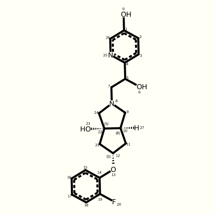 Oc1ccc(C(O)CN2C[C@H]3C[C@H](Oc4ccccc4F)C[C@@]3(O)C2)nc1